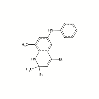 CCC1=CC(C)(CC)Nc2c(C)cc(Nc3ccccc3)cc21